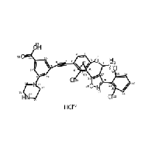 CC(Oc1ccc(C#Cc2cc(C(=O)O)cc(N3CCNCC3)c2)c(Cl)c1)c1c(-c2c(Cl)cccc2Cl)noc1C1CC1.Cl